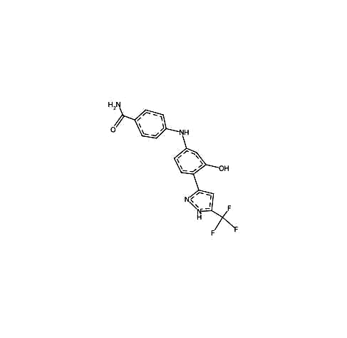 NC(=O)c1ccc(Nc2ccc(-c3cc(C(F)(F)F)[nH]n3)c(O)c2)cc1